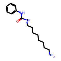 NCCCCCCCCNC(=O)Nc1ccccc1